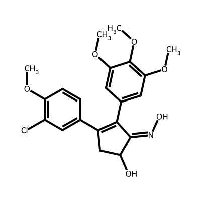 COc1ccc(C2=C(c3cc(OC)c(OC)c(OC)c3)/C(=N\O)C(O)C2)cc1Cl